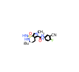 CC[C@H](C)[C@H]1CCc2c(cn(C)c2C(=O)Nc2ccc(F)c(C#N)c2)S(=N)(=O)N1